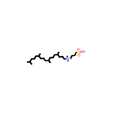 CC(C)CCCC(C)CCCC(C)CCCC(C)CCC[N+](C)(C)CCCCS(=O)(=O)O